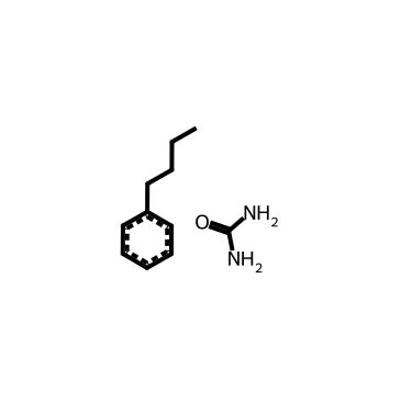 CCCCc1ccccc1.NC(N)=O